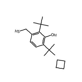 C1CCC1.CC(C)(C)c1ccc(CS)c(C(C)(C)C)c1O